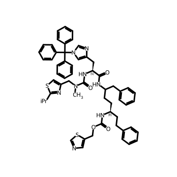 CC(C)c1nc(CN(C)C(=O)N[C@@H](Cc2cn(C(c3ccccc3)(c3ccccc3)c3ccccc3)cn2)C(=O)NC(CC[C@@H](CCc2ccccc2)NC(=O)OCc2cncs2)Cc2ccccc2)cs1